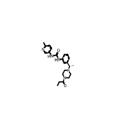 CCC(=O)N1CCN([C@@H](C)c2cccc(NC(=O)Nc3ccc(C)nc3)c2)CC1